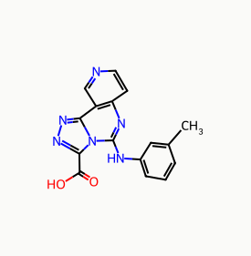 Cc1cccc(Nc2nc3ccncc3c3nnc(C(=O)O)n23)c1